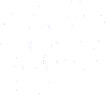 C=C(F)C(=O)N1CC(n2nc(-c3ccc(C(F)(F)F)cc3)c3nccc(C(=O)Nc4ccccc4)c32)C1